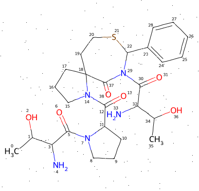 CC(O)C(N)C(=O)N1CCCC1C(=O)N1CCCC12CCSC(c1ccccc1)N(C(=O)C(N)C(C)O)C2=O